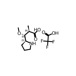 CO[C@@H]([C@@H]1CCCN1)[C@@H](C)C(=O)O.O=C(O)C(F)(F)F